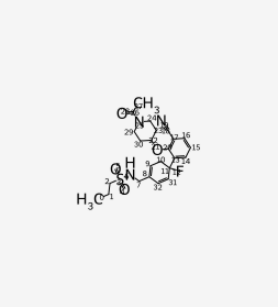 CCCS(=O)(=O)NCC1=CCC(F)(c2cccc(C#N)c2OC2CCN(C(C)=O)CC2)C=C1